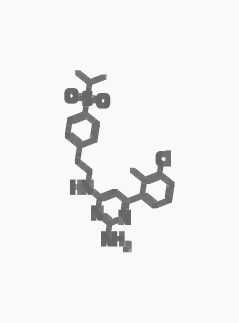 Cc1c(Cl)cccc1-c1cc(NCCc2ccc(S(=O)(=O)C(C)C)cc2)nc(N)n1